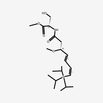 COC(=O)[C@H](CO)NC(=O)C[C@H](/C=C/C=C\[Si](C(C)C)(C(C)C)C(C)C)OC